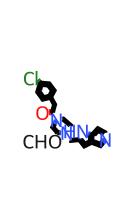 O=CC1CN(C(=O)Cc2ccc(Cl)cc2)CCN1Cc1cc2cnccc2[nH]1